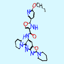 COc1ccc(C2NC(C(=O)Nc3cc4oc(N5CCCCC5)nc4nc3N3CCCCC3)=CO2)cn1